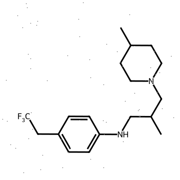 CC1CCN(CC(C)CNc2ccc(CC(F)(F)F)cc2)CC1